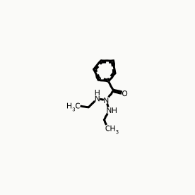 CCNN(NCC)C(=O)c1ccccc1